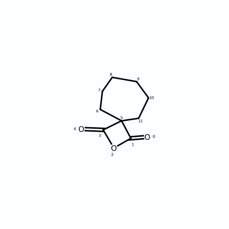 O=C1OC(=O)C12CCCCCC2